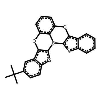 CC(C)(C)c1ccc2sc3c(c2c1)Oc1cccc2c1B3c1sc3ccccc3c1O2